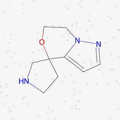 c1cc2n(n1)CCOC21CCNC1